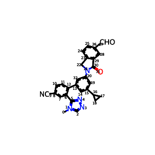 Cn1cnnc1-c1cc(C#N)ccc1-c1cc(C2CC2)cc(N2Cc3ccc(C=O)cc3C2=O)c1